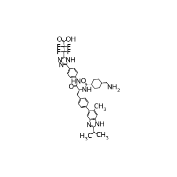 Cc1cc2[nH]c(C(C)C)nc2cc1-c1ccc(C[C@H](NC(=O)[C@H]2CC[C@H](CN)CC2)C(=O)Nc2ccc(-c3nnc(C(F)(F)C(F)(F)C(=O)O)[nH]3)cc2)cc1